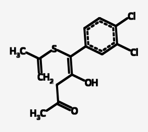 C=C(C)S/C(=C(/O)CC(C)=O)c1ccc(Cl)c(Cl)c1